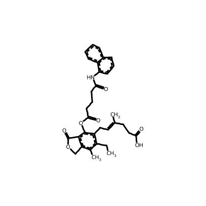 CCc1c(C)c2c(c(OC(=O)CCCC(=O)Nc3cccc4ccccc34)c1C/C=C(\C)CCC(=O)O)C(=O)OC2